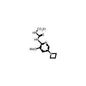 CCOC(=O)NC(=S)Nc1ncc(N2CCC2)cc1OC